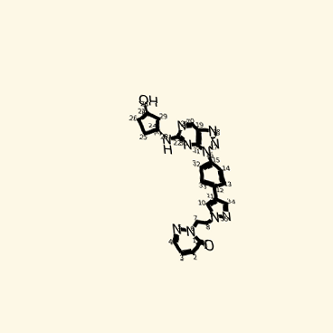 O=c1cccnn1CCn1cc(-c2ccc(-n3nnc4cnc(N[C@@H]5CC[C@@H](O)C5)nc43)cc2)cn1